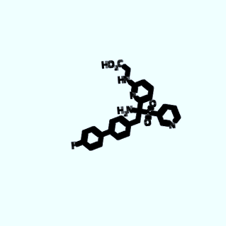 NC(Cc1ccc(-c2ccc(F)cc2)cc1)(c1cccc(NCC(=O)O)n1)S(=O)(=O)c1cccnc1